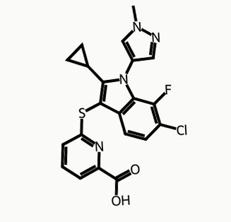 Cn1cc(-n2c(C3CC3)c(Sc3cccc(C(=O)O)n3)c3ccc(Cl)c(F)c32)cn1